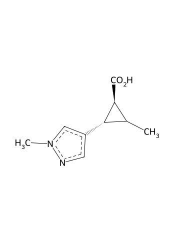 CC1[C@H](C(=O)O)[C@H]1c1cnn(C)c1